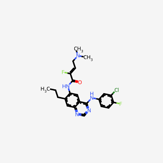 CCCc1cc2ncnc(Nc3ccc(F)c(Cl)c3)c2cc1NC(=O)C(F)=CCN(C)C